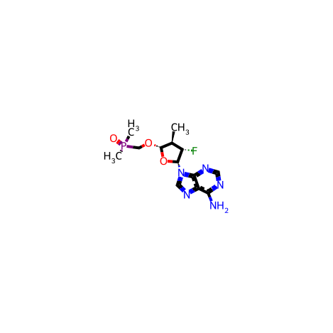 C[C@@H]1[C@@H](OCP(C)(C)=O)O[C@@H](n2cnc3c(N)ncnc32)[C@H]1F